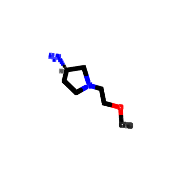 N[C@H]1CCN(CCOC=O)C1